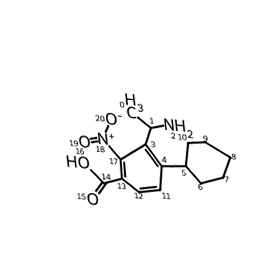 CC(N)c1c(C2CCCCC2)ccc(C(=O)O)c1[N+](=O)[O-]